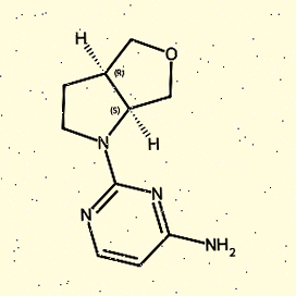 Nc1ccnc(N2CC[C@H]3COC[C@H]32)n1